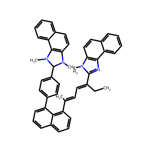 CC/C(=C\C=C(/C)c1cccc2cccc(-c3ccc(C4N(C)c5ccc6ccccc6c5N4C)cc3)c12)c1nc2c3ccccc3ccc2n1C